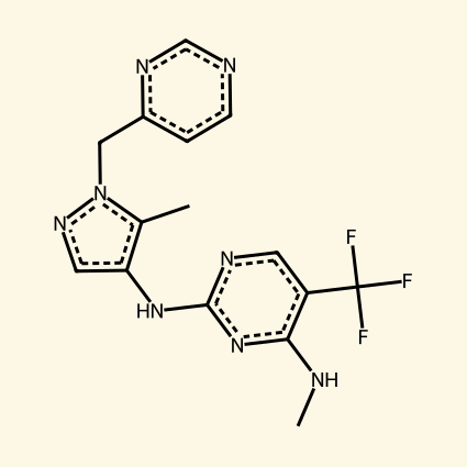 CNc1nc(Nc2cnn(Cc3ccncn3)c2C)ncc1C(F)(F)F